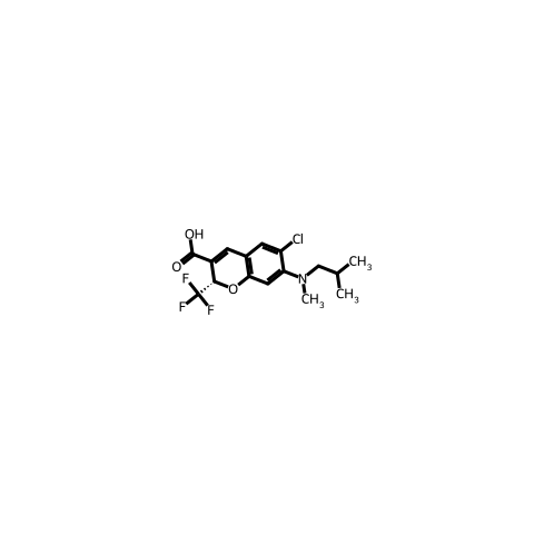 CC(C)CN(C)c1cc2c(cc1Cl)C=C(C(=O)O)[C@@H](C(F)(F)F)O2